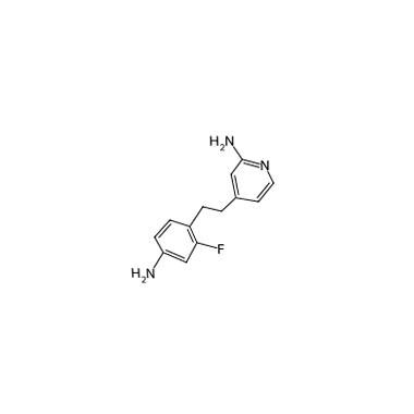 Nc1ccc(CCc2ccnc(N)c2)c(F)c1